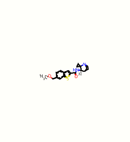 COCc1ccc2cc(C(=O)N[C@@H]3C4CCN(CC4)C34CC4)sc2c1